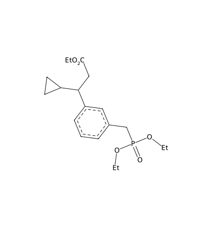 CCOC(=O)CC(c1cccc(CP(=O)(OCC)OCC)c1)C1CC1